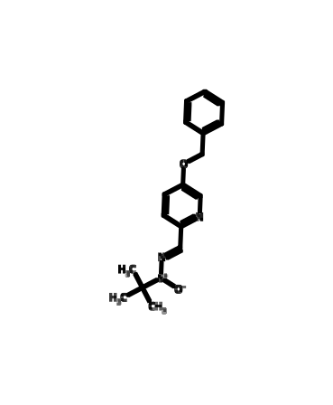 CC(C)(C)[S+]([O-])/N=C/c1ccc(OCc2ccccc2)cn1